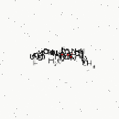 CCOc1cc(-c2ccc(N3CCC(CN(C)C(=O)CCN4CCN(c5ccc6c(c5)C(=O)N(C5CCC(=O)NC5=O)C6)CC4)(NC(=O)c4cc(F)ccc4F)CC3)nc2)c2c(C#N)cnn2c1